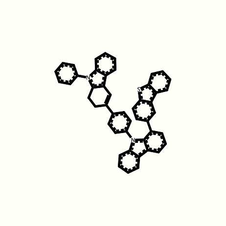 C1=C(c2ccc(-n3c4ccccc4c4cccc(-c5ccc6sc7ccccc7c6c5)c43)cc2)CCc2c1c1ccccc1n2-c1ccccc1